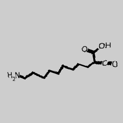 NCCCCCCCCCC(=C=O)C(=O)O